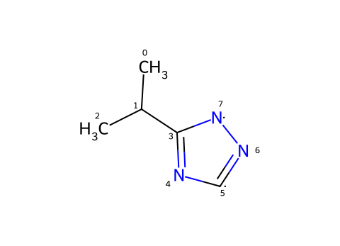 CC(C)C1=N[C]=N[N]1